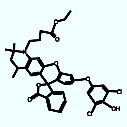 CCOC(=O)CCCN1c2cc3c(cc2C(C)CC1(C)C)C1(OC(=O)c2ccccc21)c1ccc(Oc2cc(Cl)c(O)c(Cl)c2)cc1O3